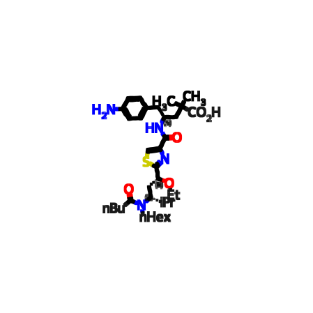 CCCCCCN(C(=O)CCCC)[C@H](C[C@@H](OCC)c1nc(C(=O)N[C@@H](Cc2ccc(N)cc2)CC(C)(C)C(=O)O)cs1)C(C)C